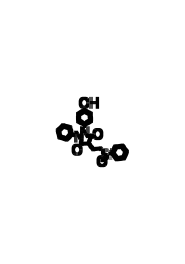 O=C1C(CC[S+]([O-])c2ccccc2)C(=O)N(c2ccc(O)cc2)N1c1ccccc1